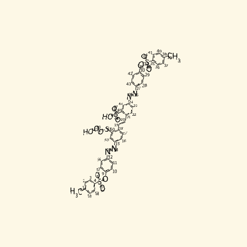 Cc1ccc(S(=O)(=O)Oc2ccc(/N=N/c3ccc(/C=C/c4ccc(/N=N/c5ccc(OS(=O)(=O)c6ccc(C)cc6)cc5)cc4S(=O)(=O)O)c(SOOO)c3)cc2)cc1